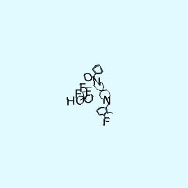 Cc1c(F)cccc1CN1CCC2(CC1)CCN(C(=O)c1ccccc1)CC2.O=C(O)C(F)(F)F